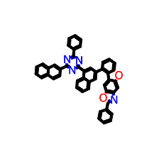 c1ccc(-c2nc(-c3ccc4ccccc4c3)nc(-c3cc(-c4cccc5oc6cc7nc(-c8ccccc8)oc7cc6c45)cc4ccccc34)n2)cc1